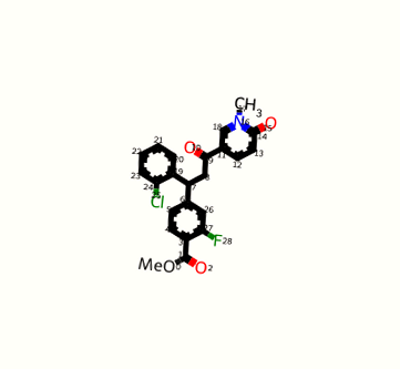 COC(=O)c1ccc(C(CC(=O)c2ccc(=O)n(C)c2)c2ccccc2Cl)cc1F